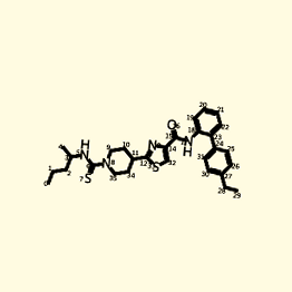 CCCC(C)NC(=S)N1CCC(c2nc(C(=O)Nc3ccccc3-c3ccc(CC)cc3)cs2)CC1